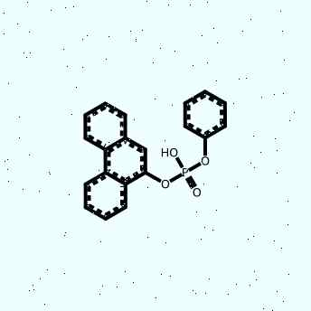 O=P(O)(Oc1ccccc1)Oc1cc2ccccc2c2ccccc12